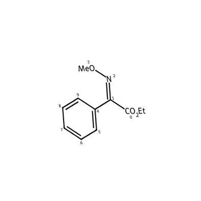 CCOC(=O)/C(=N/OC)c1ccccc1